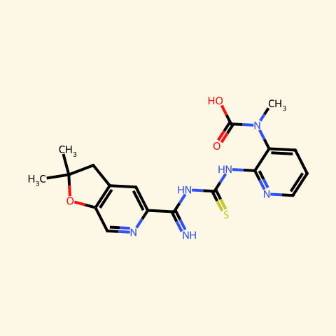 CN(C(=O)O)c1cccnc1NC(=S)NC(=N)c1cc2c(cn1)OC(C)(C)C2